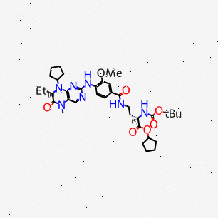 CC[C@@H]1C(=O)N(C)c2cnc(Nc3ccc(C(=O)NCC[C@H](NC(=O)OC(C)(C)C)C(=O)OC4CCCC4)cc3OC)nc2N1C1CCCC1